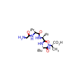 CC[C@H](C)[C@H](NC(=O)[C@@H](NC(=O)[C@@H](NC(=O)CN)C(C)C)C(C)C)C(=O)N[C@@H](C)C(=O)O